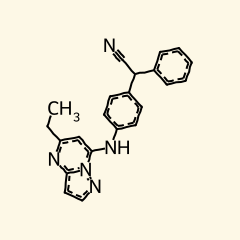 CCc1cc(Nc2ccc(C(C#N)c3ccccc3)cc2)n2nccc2n1